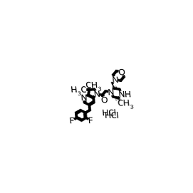 C[C@@H]1CN(CC(=O)N2CC(C)(C)c3ncc(Cc4ccc(F)cc4F)cc32)[C@@H](CN2CCOCC2)CN1.Cl.Cl